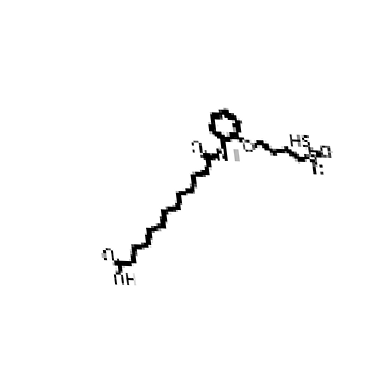 O=C(O)CCCCCCCCCCCC(=O)Nc1ccccc1OCCCCS(=O)(=O)S